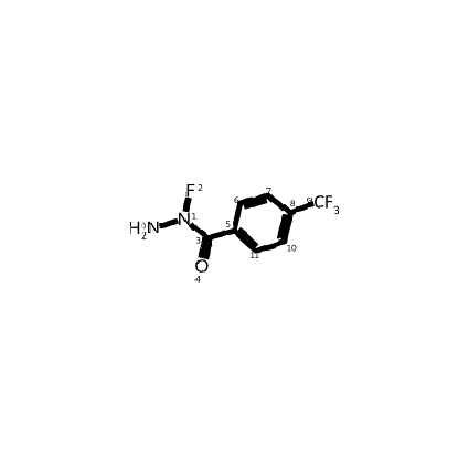 NN(F)C(=O)c1ccc(C(F)(F)F)cc1